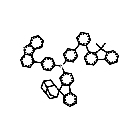 CC1(C)c2ccccc2-c2cccc(-c3ccccc3-c3ccc(N(c4ccc(-c5cccc6sc7ccccc7c56)cc4)c4ccc5c(c4)C4(c6ccccc6-5)C5CC6CC(C5)CC4C6)cc3)c21